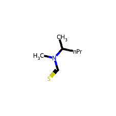 CCCC(C)N(C)C=S